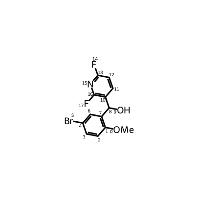 COc1ccc(Br)cc1C(O)c1ccc(F)nc1F